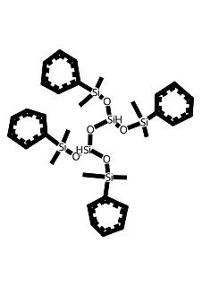 C[Si](C)(O[SiH](O[SiH](O[Si](C)(C)c1ccccc1)O[Si](C)(C)c1ccccc1)O[Si](C)(C)c1ccccc1)c1ccccc1